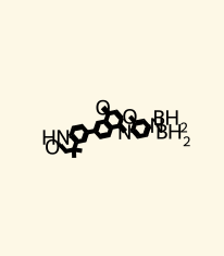 BN(B)c1ccc2nc3c4ccc(-c5ccc6c(c5)C(C)(C)CC(=O)N6)cc4c(=O)cc-3oc2c1